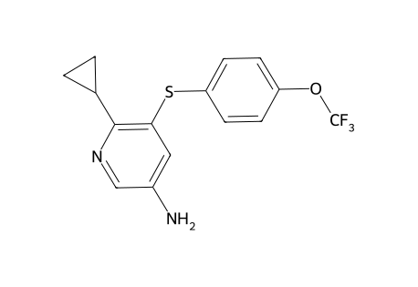 Nc1cnc(C2CC2)c(Sc2ccc(OC(F)(F)F)cc2)c1